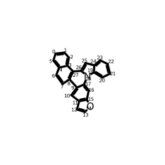 c1ccc2c(c1)ccc1c3cc4ccoc4cc3n3c4ccccc4cc3c21